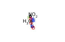 Cc1c(OCCN2CCOCC2)cn2ncnc(Oc3ccc([N+](=O)[O-])cc3F)c12